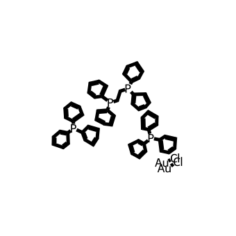 [Cl][Au].[Cl][Au].c1ccc(P(CCP(c2ccccc2)c2ccccc2)c2ccccc2)cc1.c1ccc(P(c2ccccc2)c2ccccc2)cc1.c1ccc(P(c2ccccc2)c2ccccc2)cc1